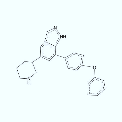 c1ccc(Oc2ccc(-c3cc(C4CCCNC4)cc4cn[nH]c34)cc2)cc1